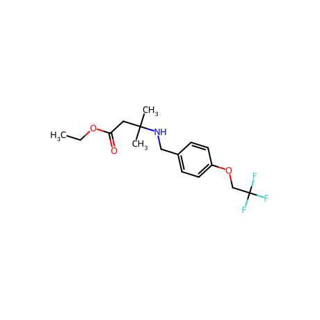 CCOC(=O)CC(C)(C)NCc1ccc(OCC(F)(F)F)cc1